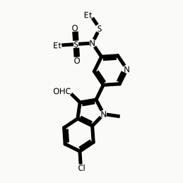 CCSN(c1cncc(-c2c(C=O)c3ccc(Cl)cc3n2C)c1)S(=O)(=O)CC